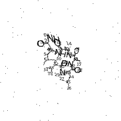 CNC(=O)[C@H](CC(C)C)N(C)C(=O)[C@H](C)NC(=O)[C@@H](C)NC(=O)[C@H](CC(C)C)N(C)C(=O)CC(C)C